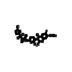 CNc1cc2c(cc1F)C(=O)N(c1ccc(NC(=O)NS(=O)(=O)c3ccc(Cl)s3)nc1)C(C)O2